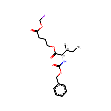 CC[C@H](C)[C@H](NC(=O)OCc1ccccc1)C(=O)OCCCC(=O)OCI